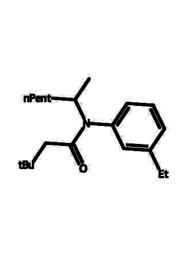 CCCCCC(C)N(C(=O)CC(C)(C)C)c1cccc(CC)c1